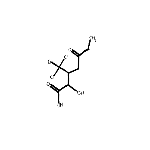 CCC(=O)CC(C(O)C(=O)O)C(Cl)(Cl)Cl